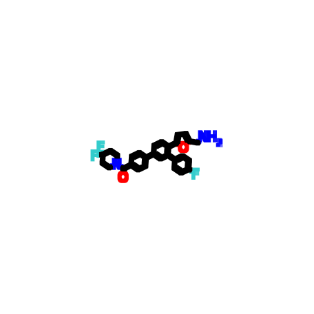 NCc1ccc(-c2ccc(-c3ccc(C(=O)N4CCC(F)(F)CC4)cc3)cc2-c2ccc(F)cc2)o1